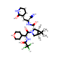 CC1(C)[C@@H]2[C@@H](C(=O)N[C@H](C#N)C[C@@H]3CCCNC3=O)N(C(=O)[C@@H](NC(=O)C(F)(F)F)C3CCOCC3)C[C@@H]21